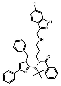 CC(C)(C)[C@H](c1nc(-c2ccccc2)cn1Cc1ccccc1)N(CCCNCc1n[nH]c2cc(F)ccc12)C(=O)c1ccccc1